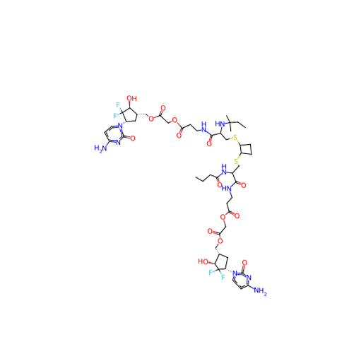 CCCC(=O)NC(CSC1CCC1SCC(NC(C)(C)CC)C(=O)NCCC(=O)OCC(=O)OC[C@@H]1C[C@H](n2ccc(N)nc2=O)C(F)(F)[C@H]1O)C(=O)NCCC(=O)OCC(=O)OC[C@@H]1C[C@H](n2ccc(N)nc2=O)C(F)(F)[C@H]1O